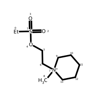 CCS(=O)(=O)OCC[N+]1(C)CCCCC1